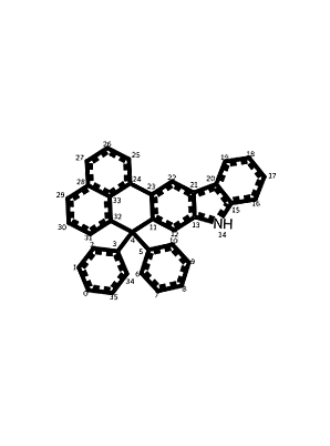 c1ccc(C2(c3ccccc3)c3cc4[nH]c5ccccc5c4cc3-c3cccc4cccc2c34)cc1